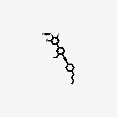 CCCCC1CCC(C#Cc2ccc(-c3cc(F)c(SC#N)c(F)c3)cc2CC)CC1